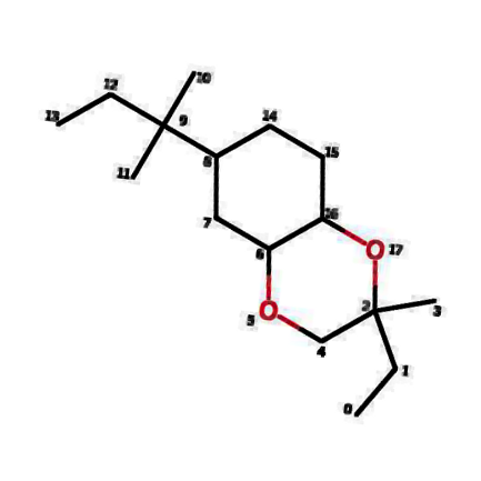 CCC1(C)COC2CC(C(C)(C)CC)CCC2O1